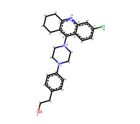 OCCc1ccc(N2CCN(c3c4c(nc5cc(Cl)ccc35)CCCC4)CC2)cc1